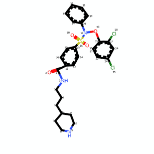 O=C(NCCCC1CCNCC1)c1ccc(S(=O)(=O)N(Oc2ccc(Cl)cc2Cl)c2ccccc2)cc1